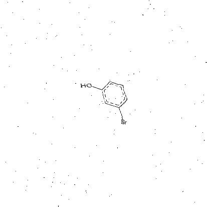 Oc1[c]ccc(Br)c1